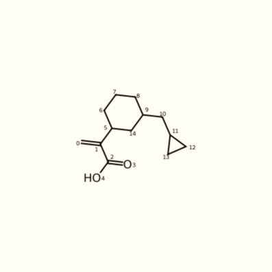 C=C(C(=O)O)C1CCCC(CC2CC2)C1